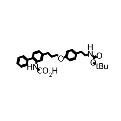 CC(C)(C)OC(=O)NCCc1ccc(OCCCc2ccc(-c3ccccc3)c(NC(=O)O)c2)cc1